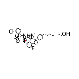 Cc1c(F)ccc(F)c1-c1c(C(=O)NC(CS(C)(=O)=O)c2cccc(Cl)c2)cn(C)c1C(=O)c1ccc(CCCCCCCCO)cc1